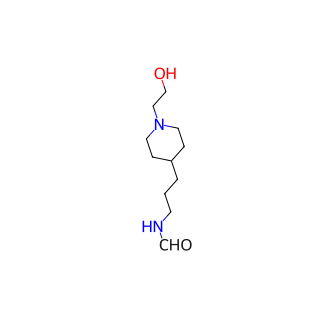 O=CNCCCC1CCN(CCO)CC1